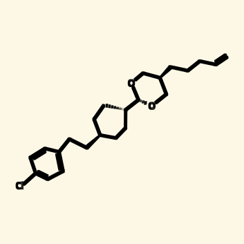 C=CCCC[C@H]1CO[C@H]([C@H]2CC[C@H](CCc3ccc(Cl)cc3)CC2)OC1